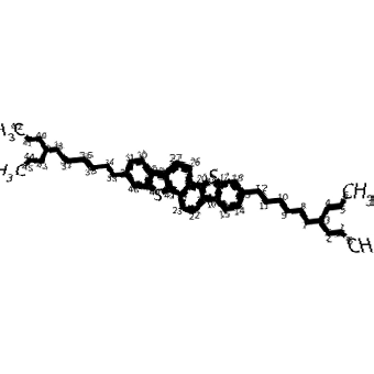 CCCC(CCC)CCCCCCc1ccc2c(c1)sc1c2ccc2c1ccc1c3ccc(CCCCCCC(CCC)CCC)cc3sc12